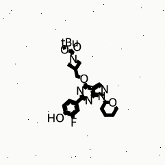 CC(C)(C)OC(=O)N1CC(COc2nc(-c3ccc(O)c(F)c3)nc3c2cnn3C2CCCCO2)C1